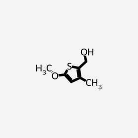 COc1cc(C)c(CO)s1